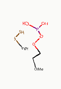 CCCSS.COCCOOP(O)O